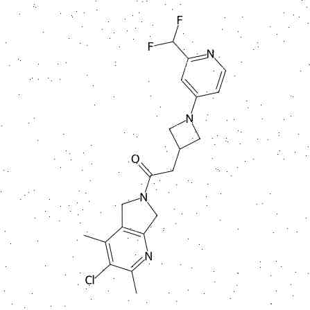 Cc1nc2c(c(C)c1Cl)CN(C(=O)CC1CN(c3ccnc(C(F)F)c3)C1)C2